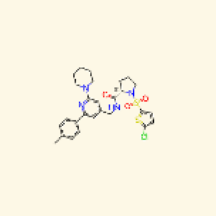 Cc1ccc(-c2cc(CNC(=O)[C@@H]3CCCN3S(=O)(=O)c3ccc(Cl)s3)cc(N3CCCCC3)n2)cc1